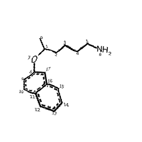 CC(CCCCN)Oc1ccc2ccccc2c1